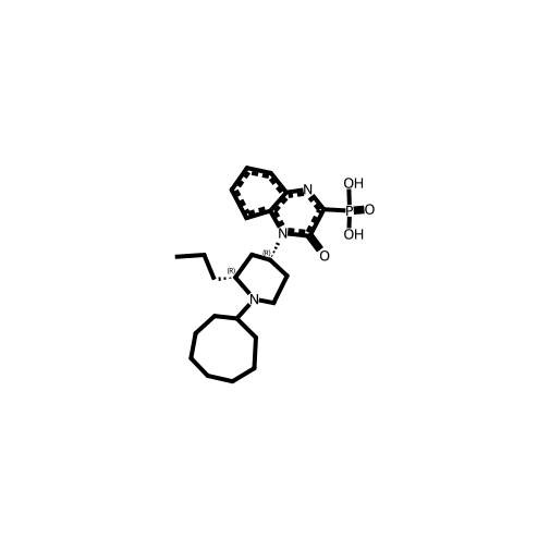 CCC[C@@H]1C[C@H](n2c(=O)c(P(=O)(O)O)nc3ccccc32)CCN1C1CCCCCCC1